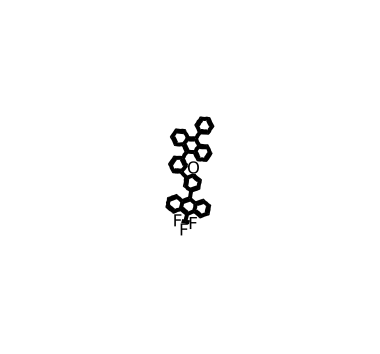 FC(F)(F)c1c2ccccc2c(-c2ccc3oc4c(-c5c6ccccc6c(-c6ccccc6)c6ccccc56)cccc4c3c2)c2ccccc12